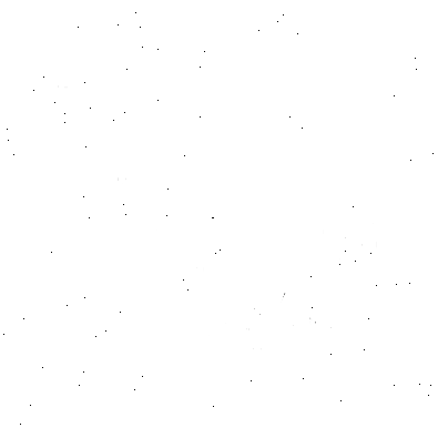 CC(C)(C)OC(=O)CC[C@@H](C(N)=O)N1Cc2c(OCCOCCOCCOCCO)cccc2C1=O